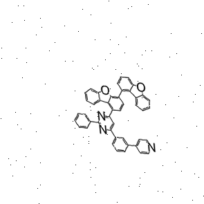 c1ccc(-c2nc(-c3cccc(-c4ccncc4)c3)cc(-c3ccc(-c4cccc5oc6ccccc6c45)c4oc5ccccc5c34)n2)cc1